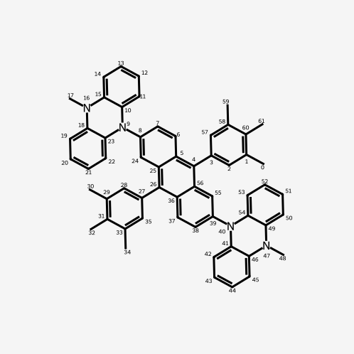 Cc1cc(-c2c3ccc(N4c5ccccc5N(C)c5ccccc54)cc3c(-c3cc(C)c(C)c(C)c3)c3ccc(N4c5ccccc5N(C)c5ccccc54)cc23)cc(C)c1C